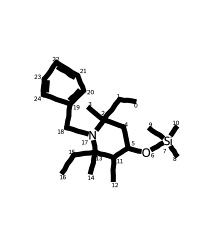 CCC1(C)CC(O[Si](C)(C)C)C(C)C(C)(CC)N1Cc1ccccc1